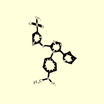 CN(C)c1ccc(-n2c(Sc3ncc(S(C)(=O)=O)s3)nnc2-c2cccs2)cc1